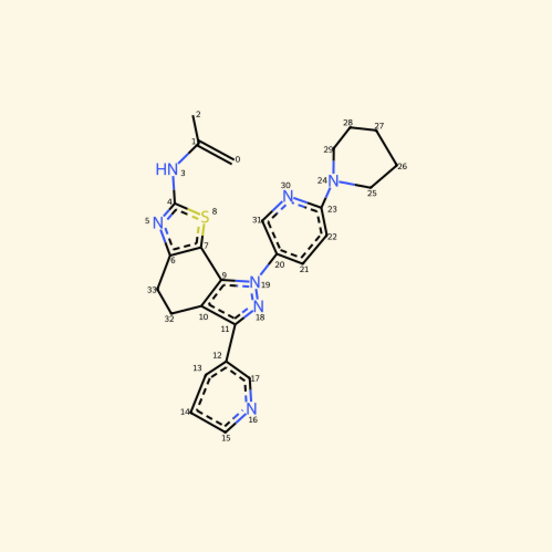 C=C(C)Nc1nc2c(s1)-c1c(c(-c3cccnc3)nn1-c1ccc(N3CCCCC3)nc1)CC2